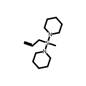 C=CC[Si](C)(N1CCCCC1)N1CCCCC1